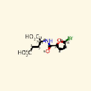 O=C(O)CC[C@H](NC(=O)c1ccc(Br)o1)C(=O)O